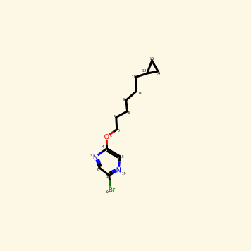 Brc1cnc(OCCCCCCC2CC2)cn1